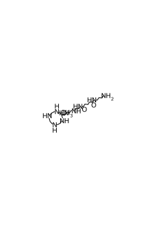 CC1(CNCCNCCNC(=O)CCCC(=O)NCCCN)CNCCNCCCNCCNC1